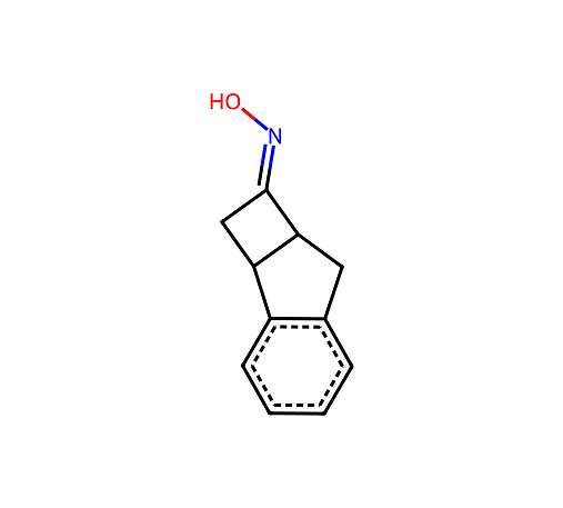 O/N=C1\CC2c3ccccc3CC12